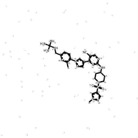 BC(B)(B)NCc1ccc(-n2cc(-c3nc(NC4CCN(S(=O)(=O)c5cnn(C)c5)CC4)ncc3C#N)cn2)c(C)n1